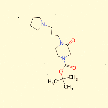 CC(C)(C)OC(=O)N1CCN(CCCN2CCCC2)C(=O)C1